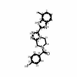 Cc1cccc2nc(-c3nnc4n3CCN(C(=O)c3ccc(F)cc3)C4)sc12